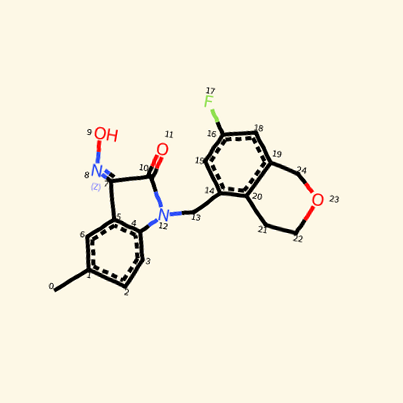 Cc1ccc2c(c1)/C(=N/O)C(=O)N2Cc1cc(F)cc2c1CCOC2